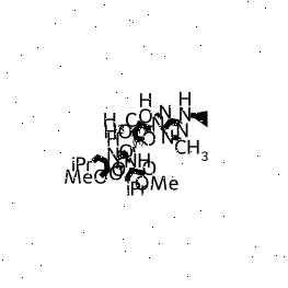 COC(=O)C(CC(C)C)NP(=O)(NC(CC(C)C)C(=O)OC)OC[C@H]1O[C@@H](n2cnc3c(NC4CC4)nc(C)nc32)C(C)(O)[C@H]1O